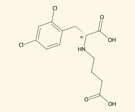 O=C(O)CCCN[C@H](Cc1ccc(Cl)cc1Cl)C(=O)O